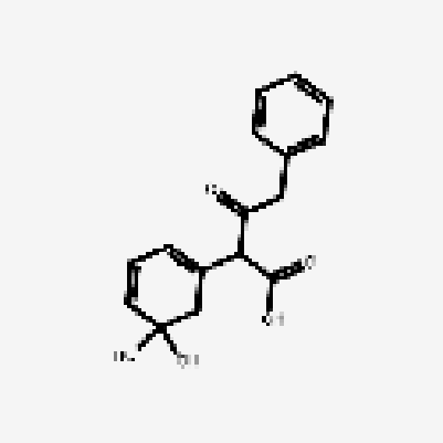 O=C(O)C(C(=O)Cc1ccccc1)C1=CC=CC(O)(O)C1